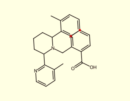 Cc1cccnc1C1CCCC(c2ncccc2C)N1Cc1ccccc1C(=O)O